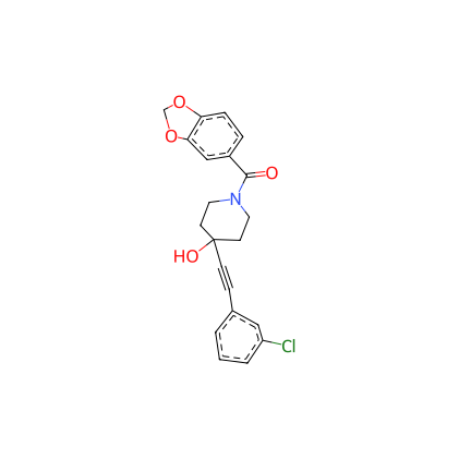 O=C(c1ccc2c(c1)OCO2)N1CCC(O)(C#Cc2cccc(Cl)c2)CC1